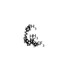 Cc1[nH]c(-c2cc(OCCCCC3CCN(C)CC3)ncc2Br)nc1-c1cccc(C(F)(F)F)c1